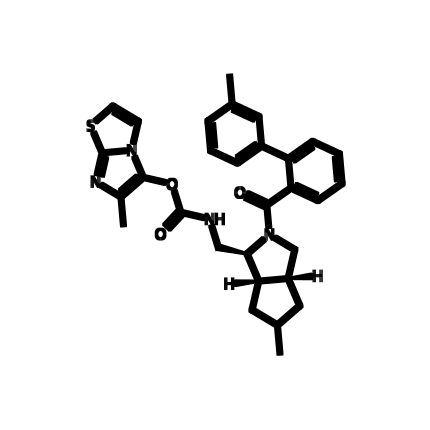 Cc1cccc(-c2ccccc2C(=O)N2C[C@@H]3CC(C)C[C@@H]3[C@H]2CNC(=O)Oc2c(C)nc3sccn23)c1